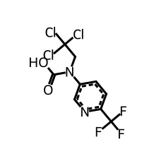 O=C(O)N(CC(Cl)(Cl)Cl)c1ccc(C(F)(F)F)nc1